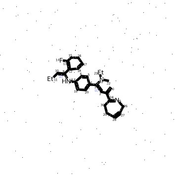 C=C(/C=C(/c1ccc(N/C(=C\CC)C2=C(F)CCC=C2)cc1)N(C)CC)C1=NCC#CCC1